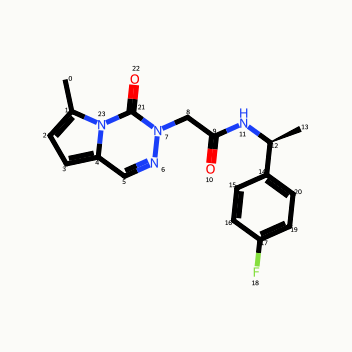 Cc1ccc2cnn(CC(=O)N[C@@H](C)c3ccc(F)cc3)c(=O)n12